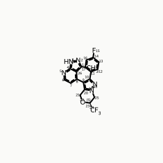 Cc1n[nH]c2nccc(-c3c(-c4ccc(F)cc4)nn4c3CO[C@H](C(F)(F)F)C4)c12